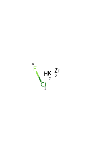 FCl.[KH].[Zr]